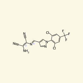 N#C/C(N)=C(C#N)/N=C/c1cnn(-c2c(Cl)cc(C(F)(F)F)cc2Cl)c1